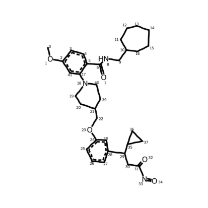 COc1ccc(C(=O)NCC2CCCCCC2)c(N2CCC(COc3cccc(C(CC(=O)N=O)C4CC4)c3)CC2)c1